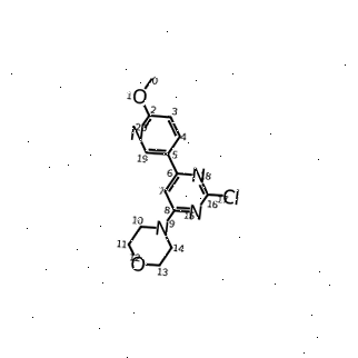 COc1ccc(-c2cc(N3CCOCC3)nc(Cl)n2)cn1